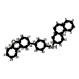 c1ccc2c(c1)ccc1cc(Nc3ccc(-c4ccc5oc6ccccc6c5c4)cc3)ccc12